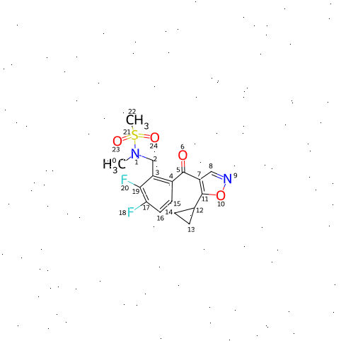 CN(Cc1c(C(=O)c2cnoc2C2CC2)ccc(F)c1F)S(C)(=O)=O